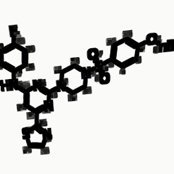 CCCCOc1ccc(S(=O)(=O)N2CCN(c3nc(Nc4ccc(F)cc4)cc(-c4nccs4)n3)CC2)cc1